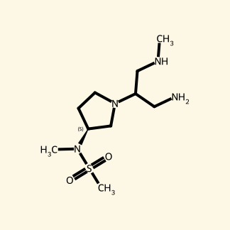 CNCC(CN)N1CC[C@H](N(C)S(C)(=O)=O)C1